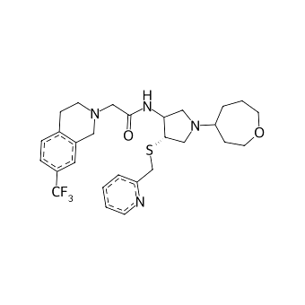 O=C(CN1CCc2ccc(C(F)(F)F)cc2C1)NC1CN(C2CCCOCC2)C[C@@H]1SCc1ccccn1